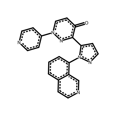 O=c1ccn(-c2ccncc2)nc1-c1ccnn1-c1cccc2ccncc12